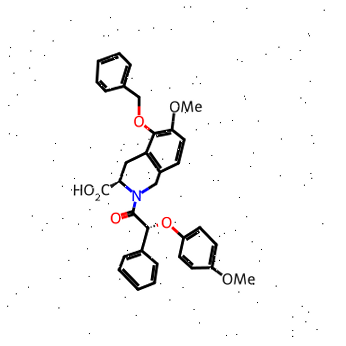 COc1ccc(O[C@@H](C(=O)N2Cc3ccc(OC)c(OCc4ccccc4)c3C[C@@H]2C(=O)O)c2ccccc2)cc1